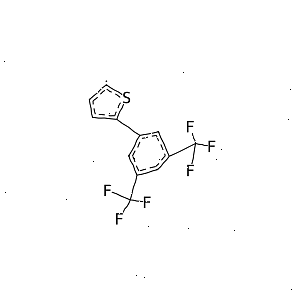 FC(F)(F)c1cc(-c2cc[c]s2)cc(C(F)(F)F)c1